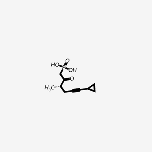 C[C@@H](CC#CC1CC1)C(=O)CP(=O)(O)O